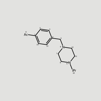 CC(=O)c1ccc(CN2CCN(C(C)C)CC2)cc1